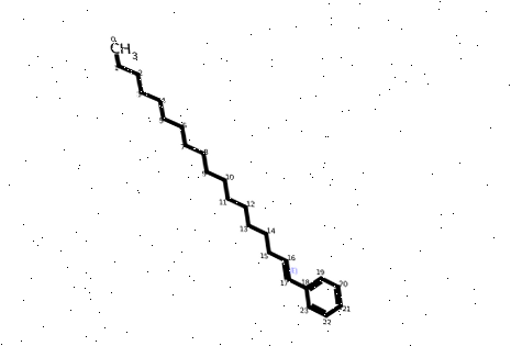 CCCCCCCCCCCCCCCC/C=C/c1cc[c]cc1